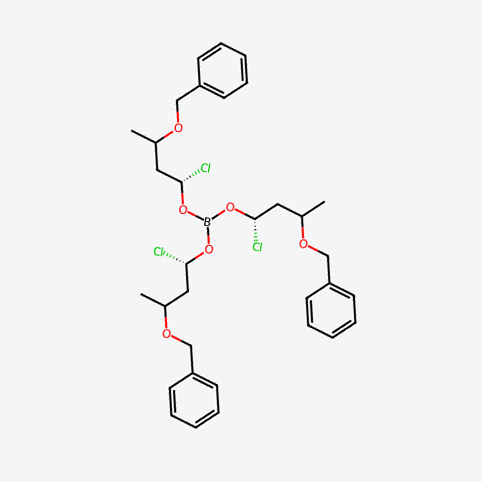 CC(C[C@H](Cl)OB(O[C@@H](Cl)CC(C)OCc1ccccc1)O[C@@H](Cl)CC(C)OCc1ccccc1)OCc1ccccc1